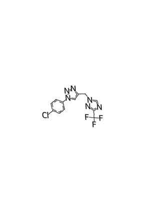 FC(F)(F)c1ncn(Cc2cn(-c3ccc(Cl)cc3)nn2)n1